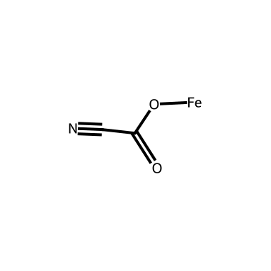 N#CC(=O)[O][Fe]